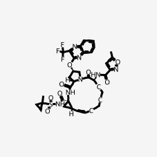 Cc1cc(C(=O)N[C@H]2CCCCCC=C[C@@H]3C[C@@]3(C(=O)NS(=O)(=O)C3(C)CC3)NC(=O)[C@@H]3C[C@@H](Oc4nc5ccccc5nc4C(F)(F)F)CN3C2=O)no1